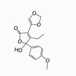 CCC1=C(C2=COCO2)C(=O)OC1(O)c1ccc(OC)cc1